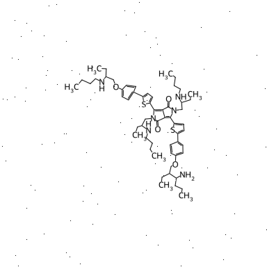 CCCCNC(CC)COc1ccc(-c2ccc(C3=C4C(=O)N(CC(CC)NCCCC)C(c5ccc(-c6ccc(OCC(CC)C(N)CCC)cc6)s5)=C4C(=O)N3CC(CC)NCCCC)s2)cc1